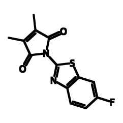 CC1=C(C)C(=O)N(c2nc3ccc(F)cc3s2)C1=O